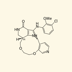 COc1c(Cl)cccc1Nc1c2[nH]c3c1C(=O)NC[C@H]3COCCOc1cnccc1-2